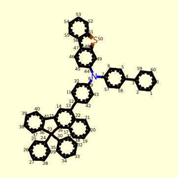 c1ccc(-c2ccc(N(c3ccc(-c4cc5c(c6ccccc46)C(c4ccccc4)(c4ccccc4)c4ccccc4-5)cc3)c3ccc4c(c3)sc3ccccc34)cc2)cc1